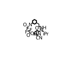 CC(C)CN(NC(=O)Cc1cccc([N+](=O)[O-])c1)c1ccnc(C#N)n1.O=C(O)C(F)(F)F